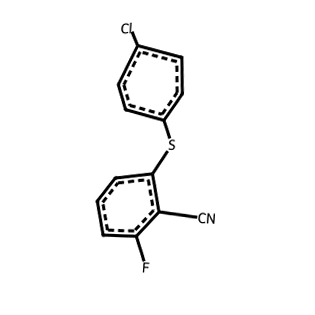 N#Cc1c(F)cccc1Sc1ccc(Cl)cc1